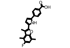 Cc1cc(F)c(C)c2c(C)c(-c3ccc(-c4ccc(C(=O)O)cc4)[nH]3)oc12